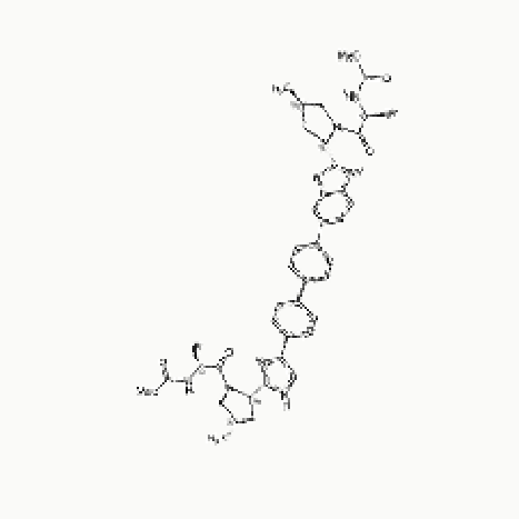 COC(=O)N[C@H](C(=O)N1C[C@@H](C)C[C@H]1c1nc(-c2ccc(-c3ccc(-c4ccc5[nH]c([C@@H]6C[C@@H](C)CN6C(=O)[C@@H](NC(=O)OC)C(C)C)nc5c4)cc3)cc2)c[nH]1)C(C)C